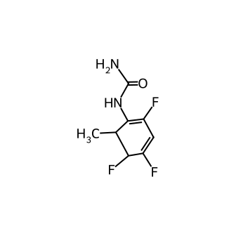 CC1C(NC(N)=O)=C(F)C=C(F)C1F